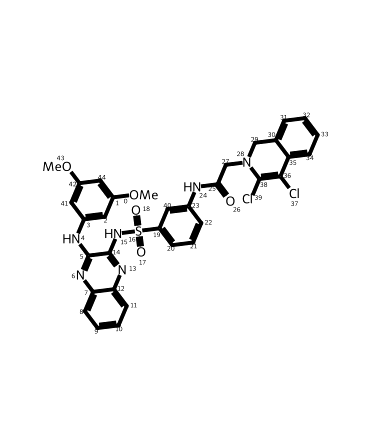 COc1cc(Nc2nc3ccccc3nc2NS(=O)(=O)c2cccc(NC(=O)CN3Cc4ccccc4C(Cl)=C3Cl)c2)cc(OC)c1